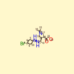 CC(NNc1ccc(Br)cc1)=C1CN(C(C)C)CC1C(=O)C=O